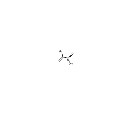 C=C(Br)[PH](=O)O